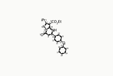 CCOC(=O)c1c(C(C)C)nn2c(=O)cc(-c3ccc(Oc4ccccc4)cc3)[nH]c12